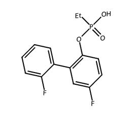 CCP(=O)(O)Oc1ccc(F)cc1-c1ccccc1F